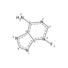 Nc1ncn(F)c2ncnc1-2